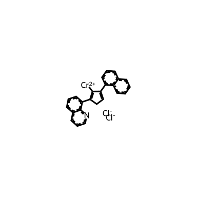 [Cl-].[Cl-].[Cr+2][C]1=C(c2cccc3cccnc23)CC=C1c1cccc2ccccc12